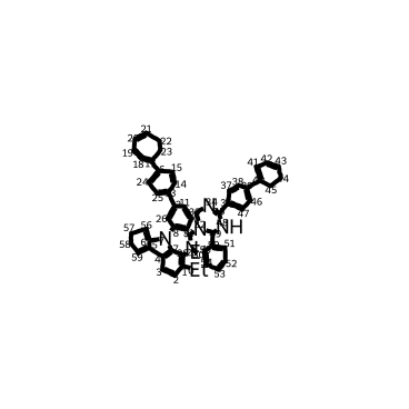 CCc1ccc2c3c(n(-c4cccc(-c5ccc(C6=C=CC=CCC6)cc5)c4)c2c1N(CC)CN1CN=C(c2ccc(C4=CC=CCC4)cc2)NC1c1ccccc1)=CCCC=3